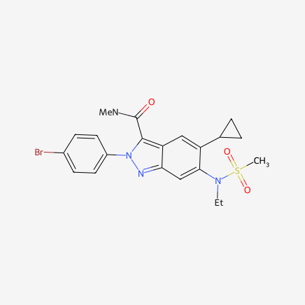 CCN(c1cc2nn(-c3ccc(Br)cc3)c(C(=O)NC)c2cc1C1CC1)S(C)(=O)=O